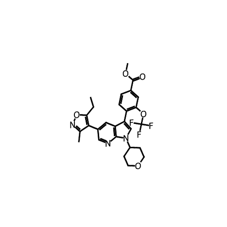 CCc1onc(C)c1-c1cnc2c(c1)c(-c1ccc(C(=O)OC)cc1OC(F)(F)F)cn2C1CCOCC1